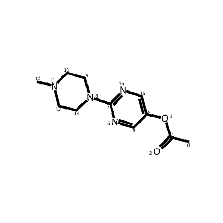 CC(=O)Oc1cnc(N2CCN(C)CC2)nc1